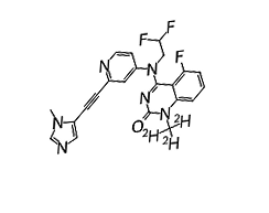 [2H]C([2H])([2H])n1c(=O)nc(N(CC(F)F)c2ccnc(C#Cc3cncn3C)c2)c2c(F)cccc21